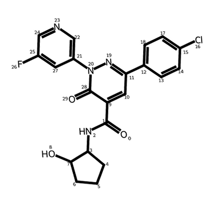 O=C(NC1CCCC1O)c1cc(-c2ccc(Cl)cc2)nn(-c2cncc(F)c2)c1=O